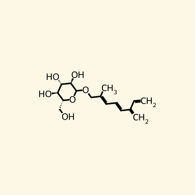 C=CC(=C)/C=C/C=C(\C)COC1O[C@H](CO)[C@@H](O)[C@H](O)[C@H]1O